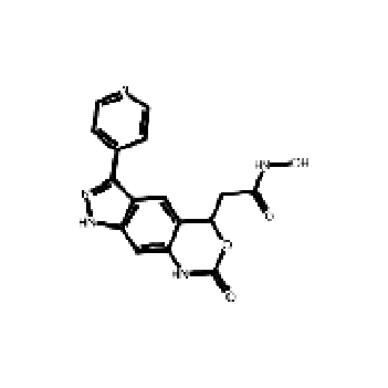 O=C(CC1OC(=O)Nc2cc3[nH]nc(-c4ccncc4)c3cc21)NO